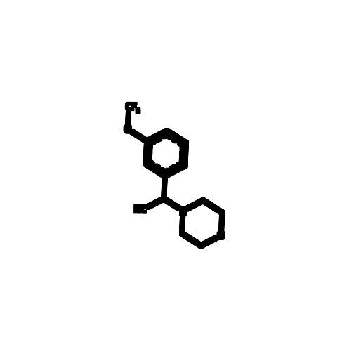 N#CC(c1cccc(OC(F)(F)F)c1)N1CCOCC1